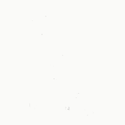 CC1(C)CC(C2CCC(CBr)CC2)CC(C)(C)N1